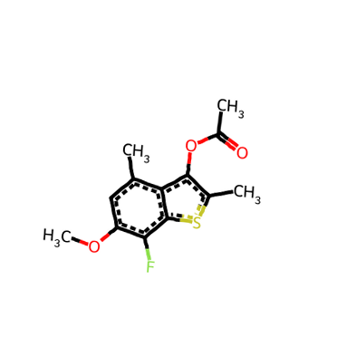 COc1cc(C)c2c(OC(C)=O)c(C)sc2c1F